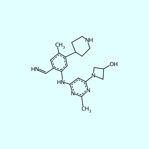 Cc1nc(Nc2cc(C3CCNCC3)c(C)cc2C=N)cc(N2CC(O)C2)n1